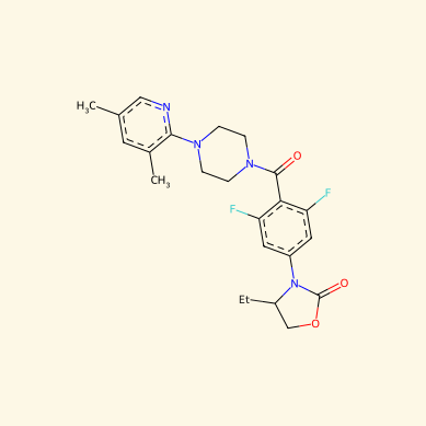 CCC1COC(=O)N1c1cc(F)c(C(=O)N2CCN(c3ncc(C)cc3C)CC2)c(F)c1